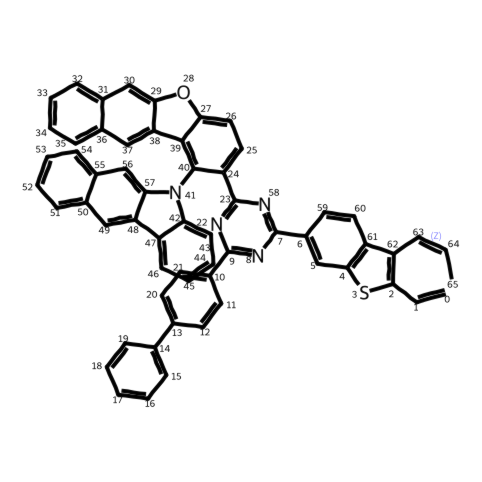 C=Cc1sc2cc(-c3nc(-c4ccc(-c5ccccc5)cc4)nc(-c4ccc5oc6cc7ccccc7cc6c5c4-n4c5ccccc5c5cc6ccccc6cc54)n3)ccc2c1/C=C\C